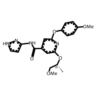 COC[C@@H](C)Oc1cc(C(=O)Nc2cc[nH]n2)cc(Oc2ccc(OC)cc2)n1